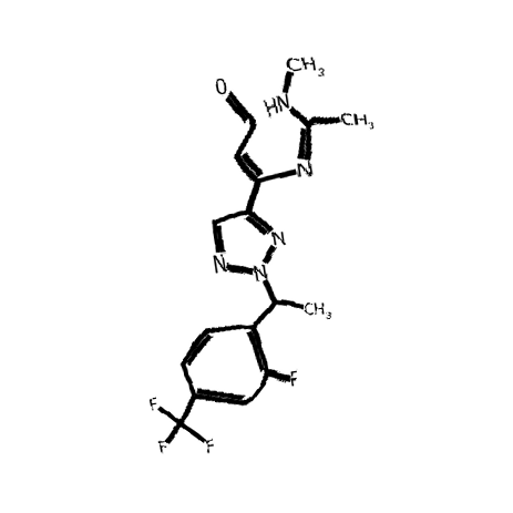 CN/C(C)=N\C(=C/C=O)c1cnn(C(C)c2ccc(C(F)(F)F)cc2F)n1